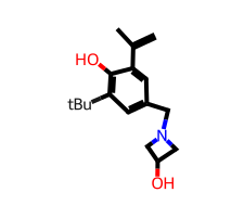 C=C(C)c1cc(CN2CC(O)C2)cc(C(C)(C)C)c1O